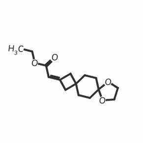 CCOC(=O)C=C1CC2(CCC3(CC2)OCCO3)C1